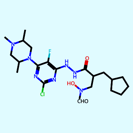 CC1CN(c2nc(Cl)nc(NNC(=O)C(CC3CCCC3)CN(O)C=O)c2F)C(C)CN1C